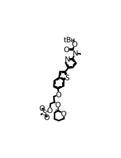 CN(C(=O)OC(C)(C)C)c1ccc(-c2cc3ccc(OCC(COS(C)(=O)=O)O[C@@H]4CCCCO4)cc3s2)cn1